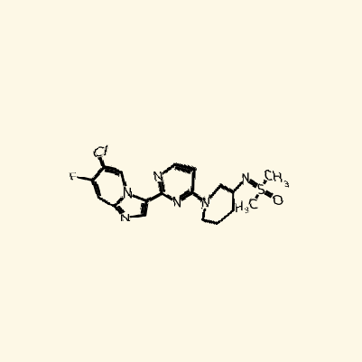 CS(C)(=O)=NC1CCCN(c2ccnc(-c3cnc4cc(F)c(Cl)cn34)n2)C1